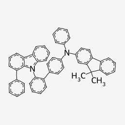 CC1(C)c2ccccc2-c2ccc(N(c3ccccc3)c3ccc(-c4ccccc4-n4c5ccccc5c5cccc(-c6ccccc6)c54)cc3)cc21